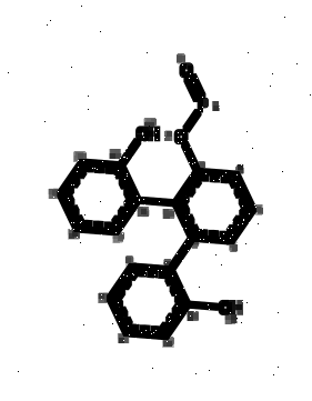 O=POc1cccc(-c2ccccc2O)c1-c1ccccc1O